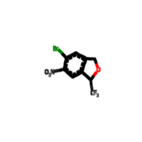 O=[N+]([O-])c1cc2c(cc1Br)COC2C(F)(F)F